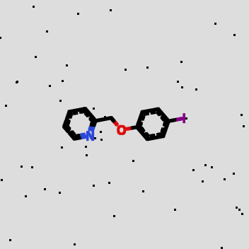 Ic1ccc(OCc2ccccn2)cc1